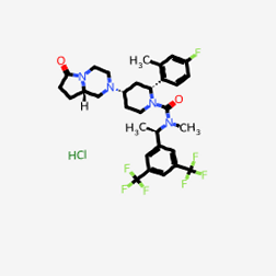 Cc1cc(F)ccc1[C@H]1C[C@@H](N2CCN3C(=O)CC[C@H]3C2)CCN1C(=O)N(C)[C@H](C)c1cc(C(F)(F)F)cc(C(F)(F)F)c1.Cl